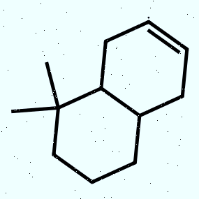 CC1(C)CCCC2CC=[C]CC21